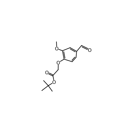 COc1cc(C=O)ccc1OCC(=O)OC(C)(C)C